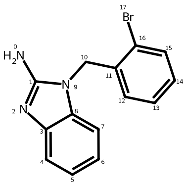 Nc1nc2ccccc2n1Cc1ccccc1Br